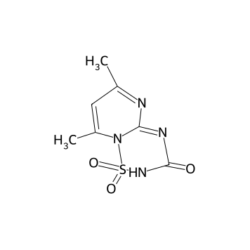 CC1=CC(C)=NC2=NC(=O)NS(=O)(=O)N12